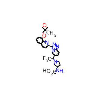 CC1(COc2cccc3ccc(-c4nnc5ccc([C@@H](N6CCC(NC(=O)O)C6)C(F)(F)F)cn45)nc23)COC1